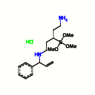 C=CC(NCCC(CCN)[Si](OC)(OC)OC)c1ccccc1.Cl